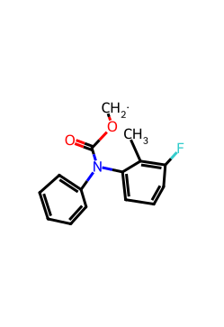 [CH2]OC(=O)N(c1ccccc1)c1cccc(F)c1C